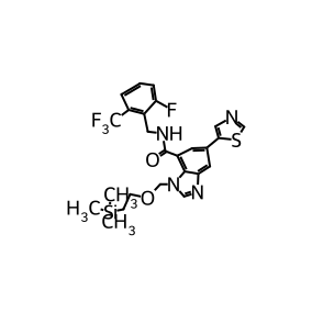 C[Si](C)(C)CCOCn1cnc2cc(-c3cncs3)cc(C(=O)NCc3c(F)cccc3C(F)(F)F)c21